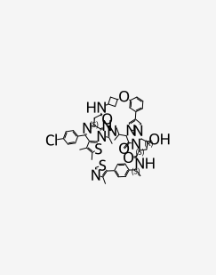 Cc1ncsc1-c1ccc([C@H](C)NC(=O)[C@@H]2C[C@@H](O)CN2C(=O)C(C(C)C)n2cc(-c3cccc(O[C@H]4C[C@H](NC(=O)C[C@@H]5N=C(c6ccc(Cl)cc6)c6c(sc(C)c6C)-n6c(C)nnc65)C4)c3)cn2)cc1